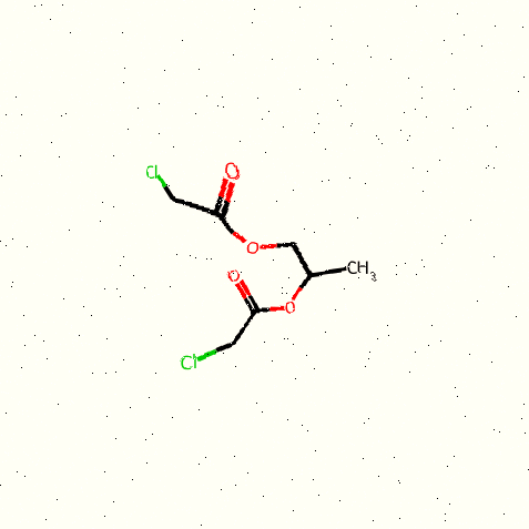 CC(COC(=O)CCl)OC(=O)CCl